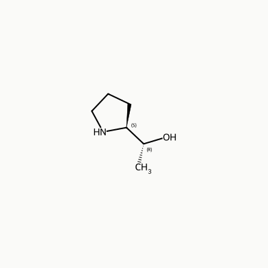 C[C@@H](O)[C@@H]1CCCN1